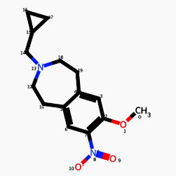 COc1cc2c(cc1[N+](=O)[O-])CCN(CC1CC1)CC2